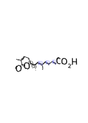 CC1=CC[C@@H]([C@@H](C)/C=C(C)/C=C/C=C/C(=O)O)OC1=O